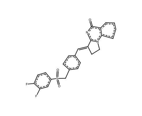 O=c1nc2n(c3ccccc13)CC/C2=C\c1ccc(CS(=O)(=O)c2ccc(F)c(F)c2)cc1